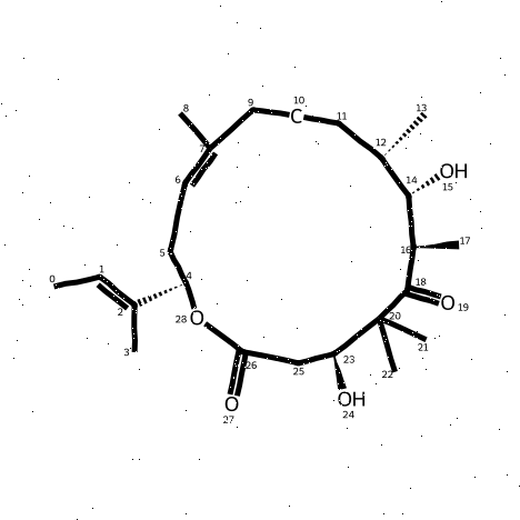 C/C=C(\C)[C@@H]1C/C=C(/C)CCC[C@H](C)[C@H](O)[C@@H](C)C(=O)C(C)(C)[C@@H](O)CC(=O)O1